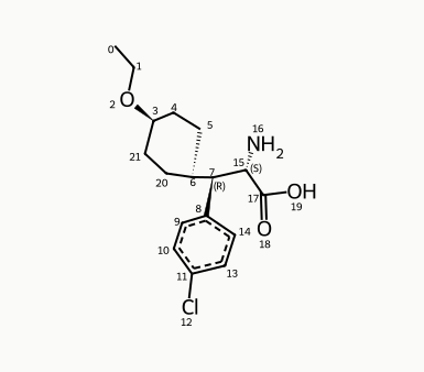 CCO[C@H]1CC[C@H]([C@H](c2ccc(Cl)cc2)[C@H](N)C(=O)O)CC1